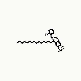 CCCCCCCCCCCCCCCC1c2cc3c(cc2CCN1Cc1ccccc1F)OCO3